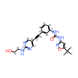 CC(C)(C)c1cc(NC(=O)Nc2cccc(C#Cc3cnc(NCCO)nc3)c2)no1